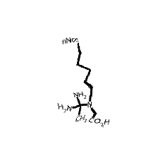 CCCCCCCCCCCCCCN(CC(=O)O)C(C)(N)N